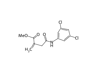 C=C(CC(=O)Nc1cc(Cl)cc(Cl)c1)C(=O)OC